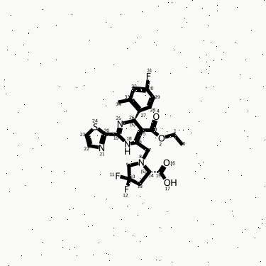 CCOC(=O)C1=C(CN2CC(F)(F)C[C@H]2C(=O)O)NC(c2nccs2)=N[C@H]1c1ccc(F)cc1C